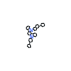 c1ccc(-c2ccc(-n3c4ccccc4c4c3ccc3c5ccccc5n(-c5ccc6cc(-c7ccccc7)ccc6c5)c34)cc2)cc1